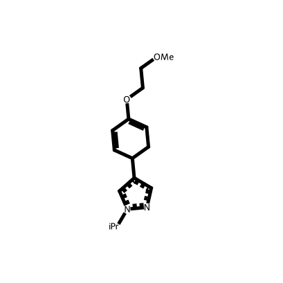 COCCOC1=CCC(c2cnn(C(C)C)c2)C=C1